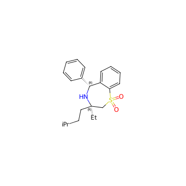 CC[C@@]1(CCC(C)C)CS(=O)(=O)c2ccccc2[C@@H](c2ccccc2)N1